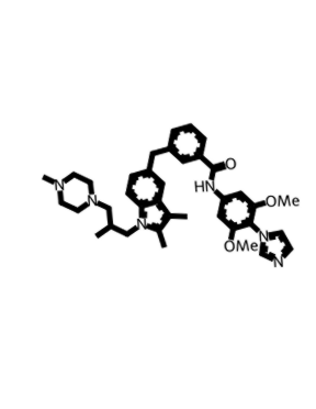 COc1cc(NC(=O)c2cccc(Cc3ccc4c(c3)c(C)c(C)n4CC(C)CN3CCN(C)CC3)c2)cc(OC)c1-n1ccnc1